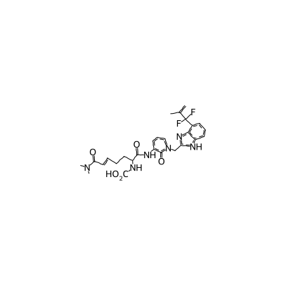 C=C(C)C(F)(F)c1cccc2[nH]c(Cn3cccc(NC(=O)C(CC/C=C/C(=O)N(C)C)NC(=O)O)c3=O)nc12